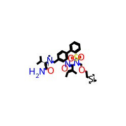 Cc1onc(N(COCC[Si](C)(C)C)S(=O)(=O)c2ccccc2-c2ccc(CN(C)[C@H](C(N)=O)C(C)C)cc2)c1C